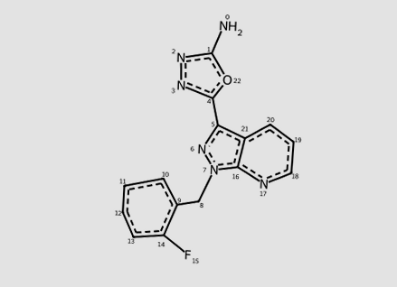 Nc1nnc(-c2nn(Cc3ccccc3F)c3ncccc23)o1